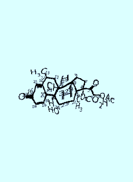 CC(=O)OCC(=O)[C@@]1(OC(=O)O)CC[C@H]2[C@@H]3C[C@H](C)C4=CC(=O)C=C[C@]4(C)[C@H]3[C@@H](O)C[C@@]21C